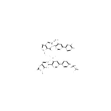 CCS(=O)(=O)c1cc(-c2ccc(Cl)c(F)c2)cnc1-n1ncc2c(C(F)(F)F)nn(C)c2c1=O.CCS(=O)(=O)c1cc(-c2ccc(OC(F)(F)C(F)F)cc2)cnc1-c1ncc2nc(C(F)(F)F)n(C)c2n1